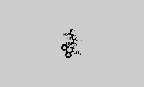 CC1C(=O)N(NC(=O)[C@H](C)NC(=O)C(S)C(C)C)c2ccccc2-c2ccccc21